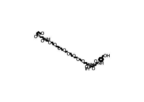 CC(C)C(NC(=O)CCOCCOCCOCCOCCOCCOCCOCCOCCNC(=O)CCN1C(=O)C=CC1=O)C(=O)NCC(=O)Nc1ccc(CO)cc1